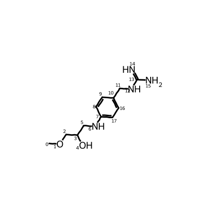 COCC(O)CNc1ccc(CNC(=N)N)cc1